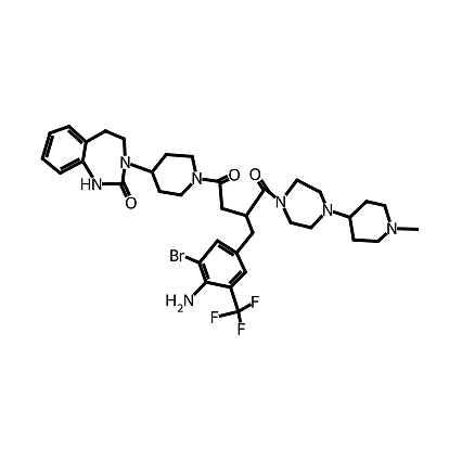 CN1CCC(N2CCN(C(=O)C(CC(=O)N3CCC(N4CCc5ccccc5NC4=O)CC3)Cc3cc(Br)c(N)c(C(F)(F)F)c3)CC2)CC1